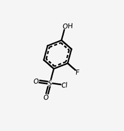 O=S(=O)(Cl)c1ccc(O)cc1F